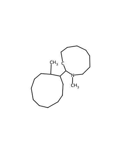 CC1CCCCCCCCCC1C1CCCCCCCCN1C